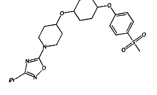 CC(C)c1noc(N2CCC(OC3CCC(Oc4ccc(S(C)(=O)=O)cc4)CC3)CC2)n1